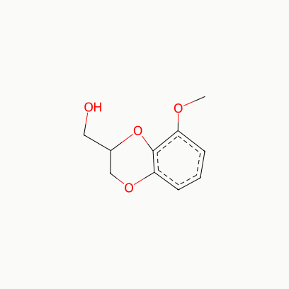 COc1cccc2c1OC(CO)CO2